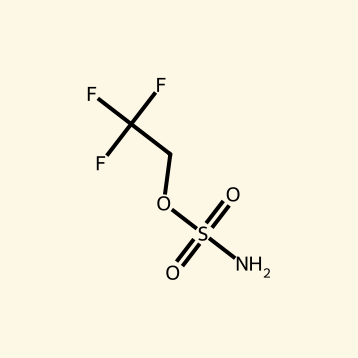 NS(=O)(=O)OCC(F)(F)F